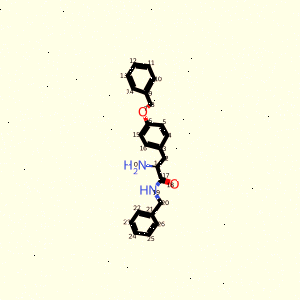 N[C@@H](Cc1ccc(OCc2ccccc2)cc1)C(=O)NCc1ccccc1